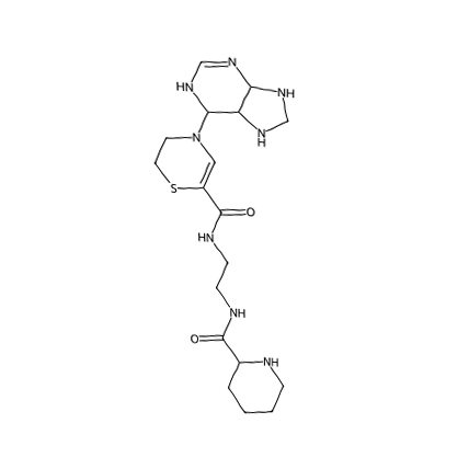 O=C(NCCNC(=O)C1CCCCN1)C1=CN(C2NC=NC3NCNC32)CCS1